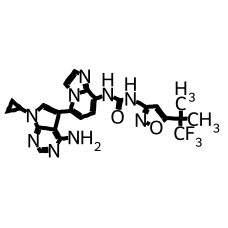 CC(C)(c1cc(NC(=O)Nc2ccc(-c3cn(C4CC4)c4ncnc(N)c34)n3ccnc23)no1)C(F)(F)F